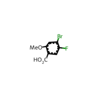 COc1cc(Br)c(F)cc1C(=O)O